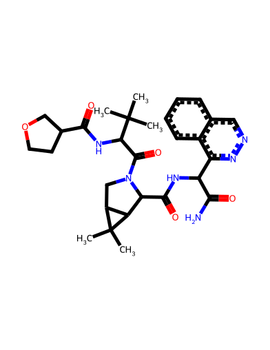 CC(C)(C)C(NC(=O)C1CCOC1)C(=O)N1CC2C(C1C(=O)NC(C(N)=O)c1nncc3ccccc13)C2(C)C